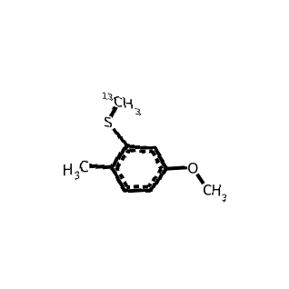 COc1ccc(C)c(S[13CH3])c1